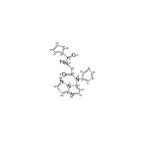 O=C(NCC(=O)N(c1ccccc1)c1ccnc2ccnn12)c1cccs1